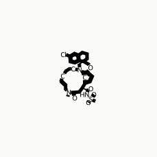 CN1C/C=C/CCCCN2C[C@@]3(CCCc4cc(Cl)ccc43)COc3ccc(cc32)[C@@H](C(=O)NS(C)(=O)=O)CC1=O